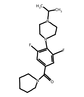 CC(C)N1CCN(c2c(F)cc(C(=O)N3CCCCC3)cc2F)CC1